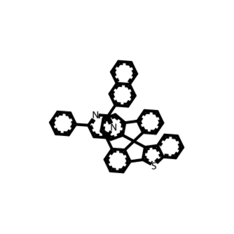 c1ccc(-c2cc(-c3cccc4c3C3(c5ccccc5-c5ccccc53)c3c-4sc4ccccc34)nc(-c3ccc4ccccc4c3)n2)cc1